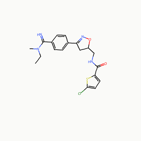 CCN(C)C(=N)c1ccc(C2=NOC(CNC(=O)c3ccc(Cl)s3)C2)cc1